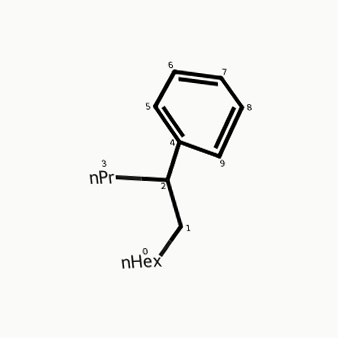 CCCCCCCC(CCC)c1ccccc1